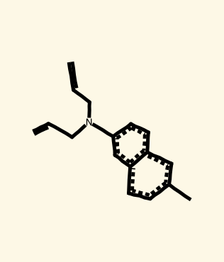 C=CCN(CC=C)c1ccc2cc(C)ccc2c1